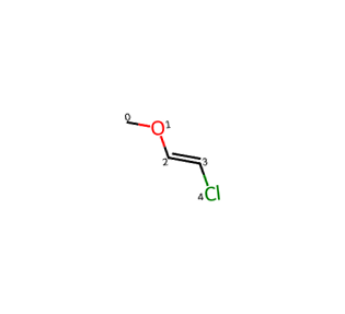 COC=CCl